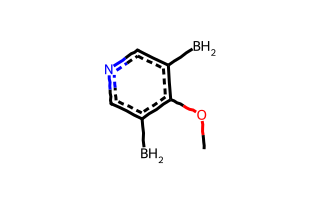 Bc1cncc(B)c1OC